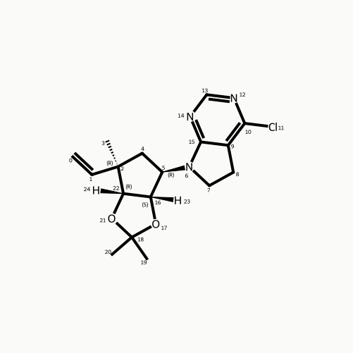 C=C[C@@]1(C)C[C@@H](N2CCc3c(Cl)ncnc32)[C@@H]2OC(C)(C)O[C@@H]21